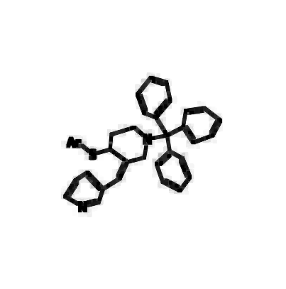 CC(=O)SC1CCN(C(c2ccccc2)(c2ccccc2)c2ccccc2)C/C1=C/c1cccnc1